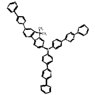 CC1(C)c2cc(-c3ccc(-c4ccccc4)cc3)ccc2-c2ccc(N(c3ccc(-c4ccc(-c5ccccc5)cc4)cc3)c3ccc(-c4ccc(-c5ccccc5)cc4)cc3)cc21